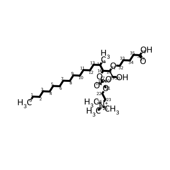 CCCCCCCCCCCCCCC(C)C(OP(=O)([O-])OCC[N+](C)(C)C)[C@H](CO)OCCCCC(=O)O